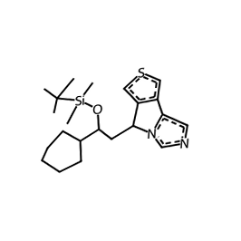 CC(C)(C)[Si](C)(C)OC(CC1c2cscc2-c2cncn21)C1CCCCC1